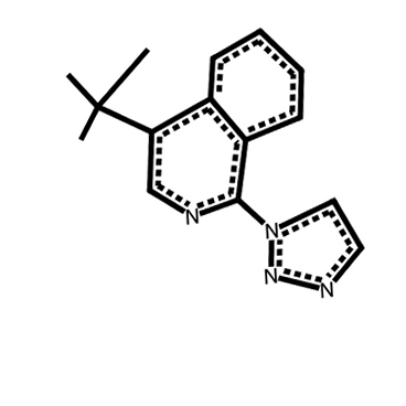 CC(C)(C)c1cnc(-n2ccnn2)c2ccccc12